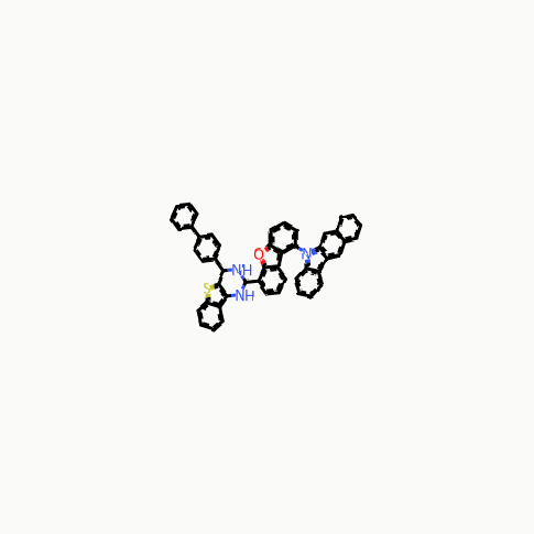 c1ccc(-c2ccc(C3NC(c4cccc5c4oc4cccc(-n6c7ccccc7c7cc8ccccc8cc76)c45)Nc4c3sc3ccccc43)cc2)cc1